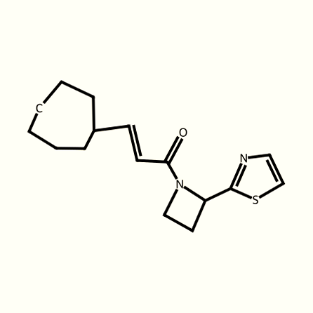 O=C(/C=C/C1CCCCCC1)N1CCC1c1nccs1